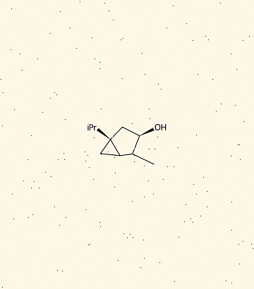 CC1C2C[C@]2(C(C)C)C[C@H]1O